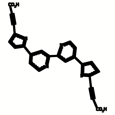 O=C(O)C#Cc1ccc(-c2ccnc(-c3cc(-c4ccc(C#CC(=O)O)s4)ccn3)c2)s1